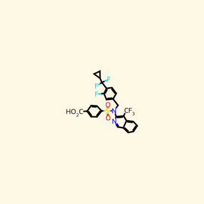 O=C(O)c1ccc(S(=O)(=O)N(Cc2ccc(C(F)(F)C3CC3)c(F)c2)c2ncc3ccccc3c2C(F)(F)F)cc1